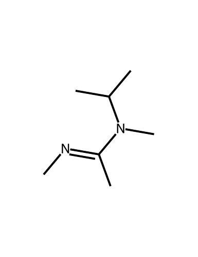 C/N=C(\C)N(C)C(C)C